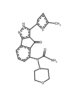 Cc1ccc(-c2[nH]nc3c2C(=O)c2c-3cccc2N(C(N)=O)N2CCOCC2)s1